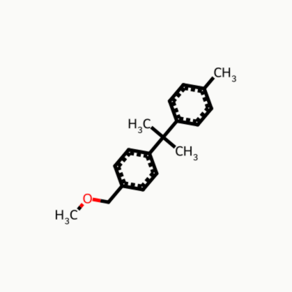 COCc1ccc(C(C)(C)c2ccc(C)cc2)cc1